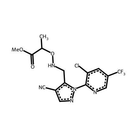 COC(=O)C(C)ONCc1c(C#N)cnn1-c1ncc(C(F)(F)F)cc1Cl